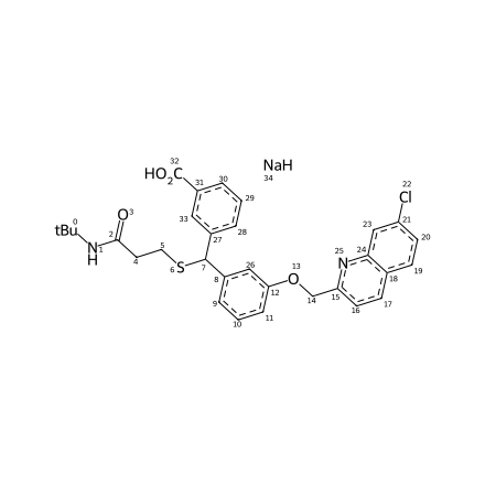 CC(C)(C)NC(=O)CCSC(c1cccc(OCc2ccc3ccc(Cl)cc3n2)c1)c1cccc(C(=O)O)c1.[NaH]